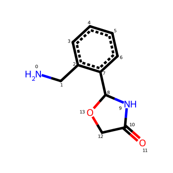 NCc1ccccc1C1NC(=O)CO1